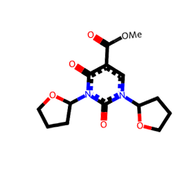 COC(=O)c1cn(C2CCCO2)c(=O)n(C2CCCO2)c1=O